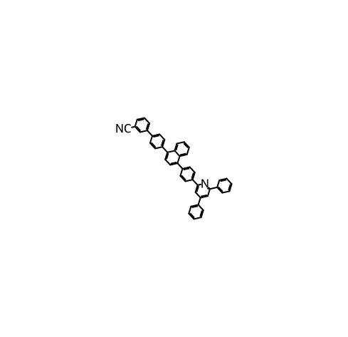 N#Cc1cccc(-c2ccc(-c3ccc(-c4ccc(-c5cc(-c6ccccc6)cc(-c6ccccc6)n5)cc4)c4ccccc34)cc2)c1